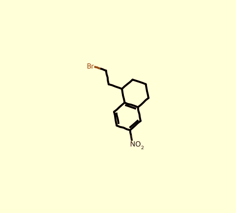 O=[N+]([O-])c1ccc2c(c1)CCCC2CCBr